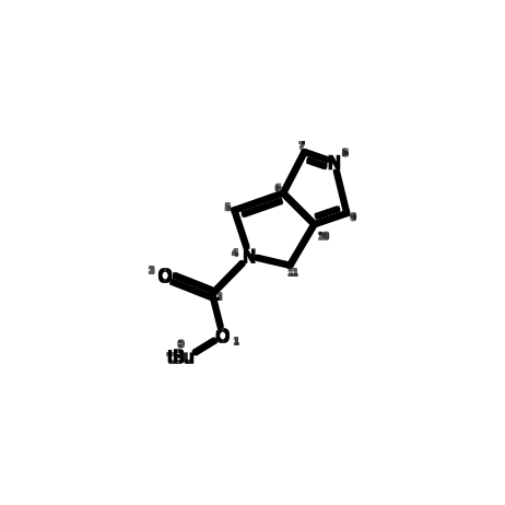 CC(C)(C)OC(=O)N1C=C2C=NC=C2C1